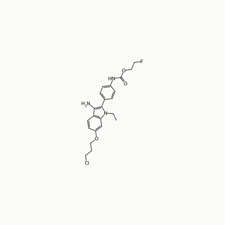 CCn1c(-c2ccc(NC(=O)OCCF)cc2)c(N)c2ccc(OCCCCl)cc21